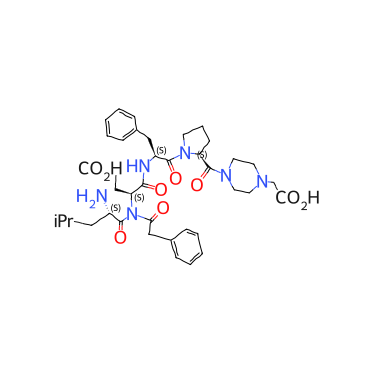 CC(C)C[C@H](N)C(=O)N(C(=O)Cc1ccccc1)[C@@H](CC(=O)O)C(=O)N[C@@H](Cc1ccccc1)C(=O)N1CCC[C@H]1C(=O)N1CCN(CC(=O)O)CC1